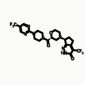 O=C([C@H]1CN([C@H]2CCc3c2n[nH]c(=O)c3C(F)(F)F)CCO1)N1CCN(c2ncc(C(F)(F)F)cn2)CC1